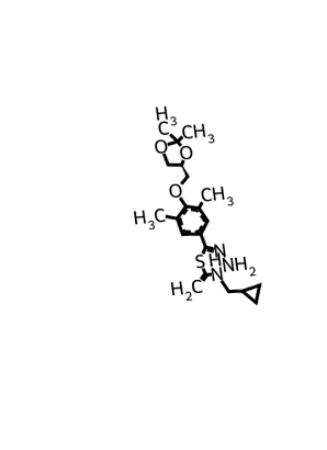 C=C(NCC1CC1)S/C(=N\N)c1cc(C)c(OC[C@H]2COC(C)(C)O2)c(C)c1